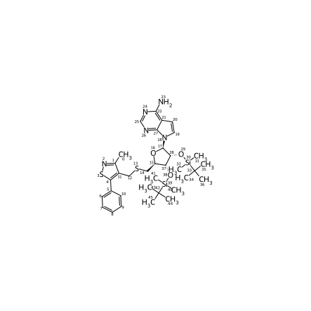 Cc1nsc(-c2ccccc2)c1CSC[C@H]1O[C@@H](n2ccc3c(N)ncnc32)[C@H](O[Si](C)(C)C(C)(C)C)[C@@H]1O[Si](C)(C)C(C)(C)C